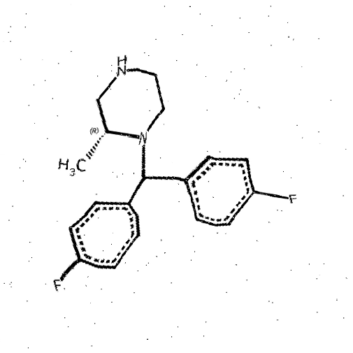 C[C@@H]1CNCCN1C(c1ccc(F)cc1)c1ccc(F)cc1